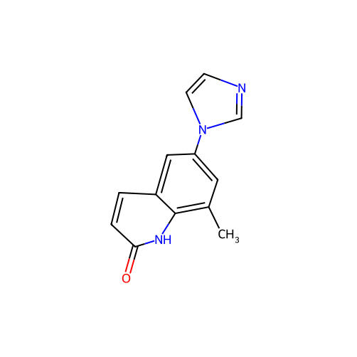 Cc1cc(-n2ccnc2)cc2ccc(=O)[nH]c12